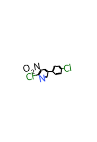 O=[N+]([O-])c1cc(-c2ccc(Cl)cc2)cnc1Cl